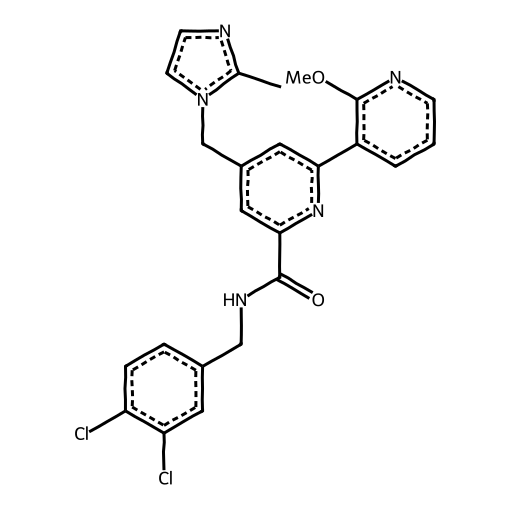 COc1ncccc1-c1cc(Cn2ccnc2C)cc(C(=O)NCc2ccc(Cl)c(Cl)c2)n1